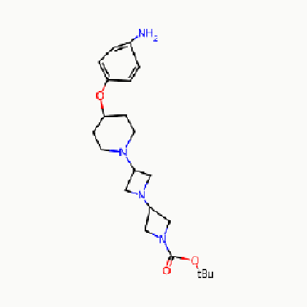 CC(C)(C)OC(=O)N1CC(N2CC(N3CCC(Oc4ccc(N)cc4)CC3)C2)C1